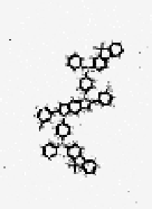 CC1(C)C2=C(C=CCC2)c2ccc(N(c3ccccc3)c3ccc(-n4c(-c5cccc(F)c5)cc5cc6c(cc(-c7cccc(F)c7)n6-c6ccc(N(c7ccccc7)c7ccc8c(c7)C(C)(C)c7ccccc7-8)cc6)cc54)cc3)cc21